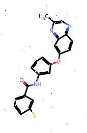 Cc1cnc2ccc(Oc3cccc(NC(=O)c4cccc(F)c4)c3)cc2n1